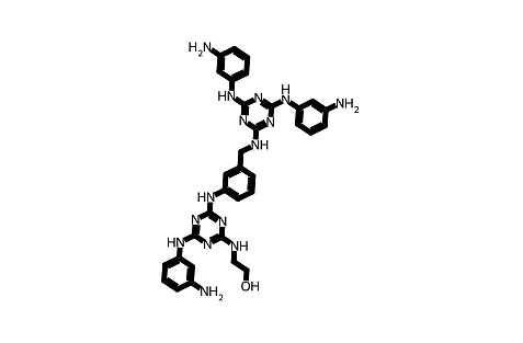 Nc1cccc(Nc2nc(NCCO)nc(Nc3cccc(CNc4nc(Nc5cccc(N)c5)nc(Nc5cccc(N)c5)n4)c3)n2)c1